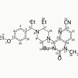 CCOc1ccc(C(CC)N2CC(C(C)CC)N(c3nc(=O)n(C)c4ccc(C#N)nc34)C[C@H]2CC)cc1